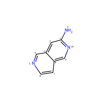 Nc1cc2cnccc2cn1